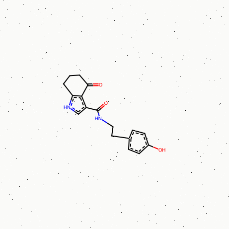 O=C(NCCc1ccc(O)cc1)c1c[nH]c2c1C(=O)CCC2